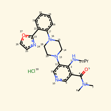 CCCNc1c(C(=O)N(C)C)cncc1N1CCN(c2ccccc2-c2ncco2)CC1.Cl